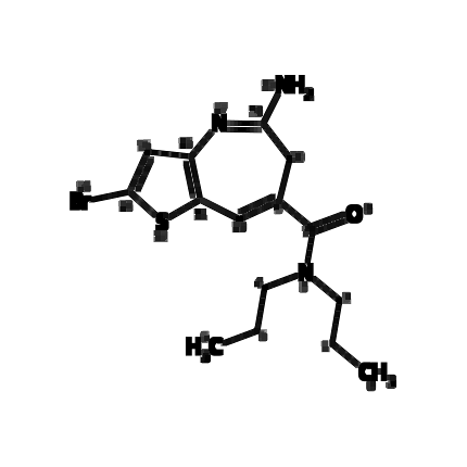 CCCN(CCC)C(=O)C1=Cc2sc(Br)cc2N=C(N)C1